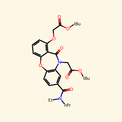 CCCN(CC)C(=O)c1ccc2c(c1)N(CC(=O)OC(C)(C)C)C(=O)c1c(OCC(=O)OC(C)(C)C)cccc1O2